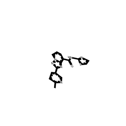 Cc1ccc(-c2nc3c(C(=O)Nc4nccs4)cccn3n2)cn1